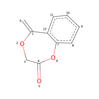 C=C1OCC(=O)Oc2ccccc21